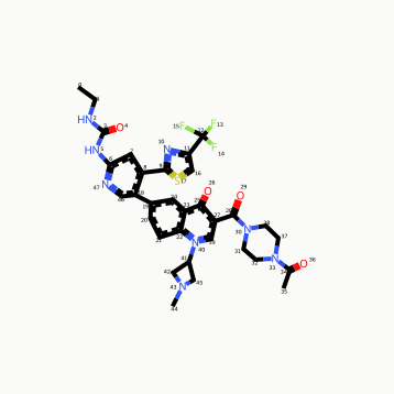 CCNC(=O)Nc1cc(-c2nc(C(F)(F)F)cs2)c(-c2ccc3c(c2)c(=O)c(C(=O)N2CCN(C(C)=O)CC2)cn3C2CN(C)C2)cn1